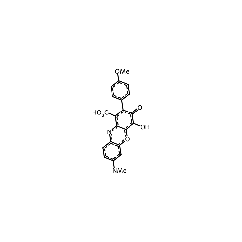 CNc1ccc2nc3c(C(=O)O)c(-c4ccc(OC)cc4)c(=O)c(O)c-3oc2c1